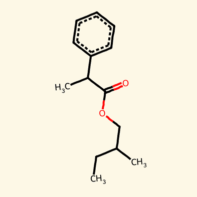 CCC(C)COC(=O)C(C)c1ccccc1